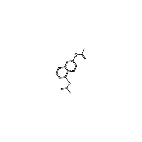 C=C(C)Sc1ccc2c(SC(=C)C)cccc2c1